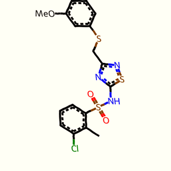 COc1cccc(SCc2nsc(NS(=O)(=O)c3cccc(Cl)c3C)n2)c1